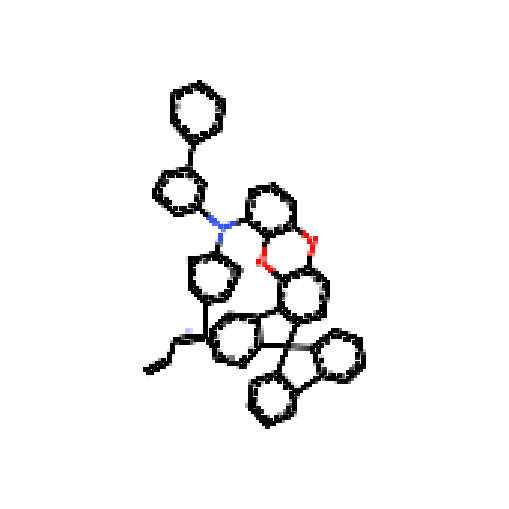 C=C/C=C(\C)c1ccc(N(c2cccc(-c3ccccc3)c2)c2cccc3c2Oc2c(ccc4c2-c2ccccc2C42c4ccccc4-c4ccccc42)O3)cc1